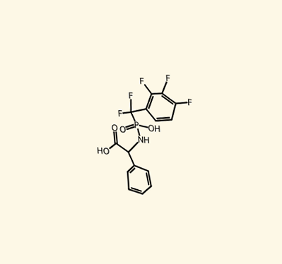 O=C(O)C(NP(=O)(O)C(F)(F)c1ccc(F)c(F)c1F)c1ccccc1